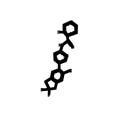 O=C(Nc1ccc(-c2cc3c(cc2Cl)CC(F)(F)C3)cn1)c1ccccc1F